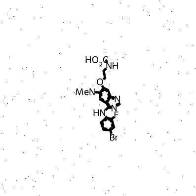 CNc1cc2c(Nc3ccc(Br)cc3F)ncnc2cc1OCCNC(=O)O